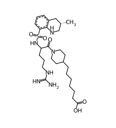 C[C@@H]1CNc2c(cccc2S(=O)(=O)NC(CCCNC(=N)N)C(=O)N2CCC(CCCCCCC(=O)O)CC2)C1